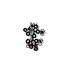 CC(C)(C)[Si](OC[C@H](c1ccccc1C(N)=O)[C@@H](Oc1cccc(O[C@@H](c2ccc([N+](=O)[O-])cc2)[C@H](CO[Si](c2ccccc2)(c2ccccc2)C(C)(C)C)c2ccccc2C(N)=O)c1I)c1ccc([N+](=O)[O-])cc1)(c1ccccc1)c1ccccc1